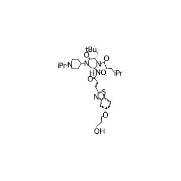 CC(C)C[C@H]1ON(C(=O)/C=C/c2nc3cc(OCCCO)ccc3s2)[C@H]2CN(C3CCN(C(C)C)CC3)C(=O)[C@H](CC(C)(C)C)N2C1=O